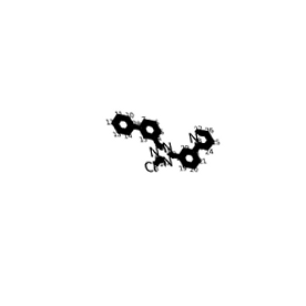 Clc1nc(-c2cccc(-c3ccccc3)c2)nc(-c2cccc(-c3ccccn3)c2)n1